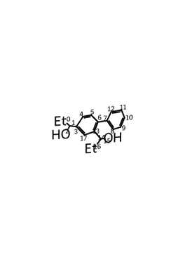 CCC(O)c1ccc(-c2ccccc2)c(C(O)CC)c1